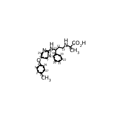 Cc1ccc(Oc2cnc(NC(CCNC(C)C(=O)O)c3ccccc3)nc2)cc1